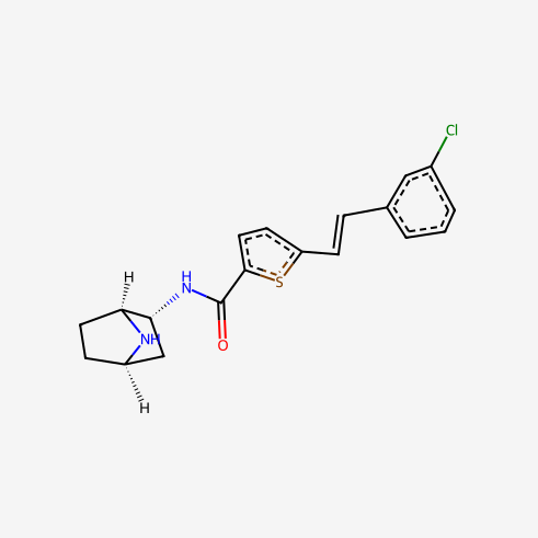 O=C(N[C@@H]1C[C@H]2CC[C@@H]1N2)c1ccc(/C=C/c2cccc(Cl)c2)s1